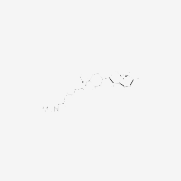 CNCCSSCCN(C)C1CCC(/C=C/c2cccc[n+]2C)CC1